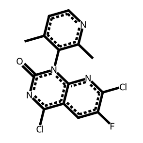 Cc1ccnc(C)c1-n1c(=O)nc(Cl)c2cc(F)c(Cl)nc21